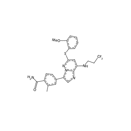 COc1ccccc1Sc1cc(NCCC(F)(F)F)c2ncc(-c3ccc(C(N)=O)c(C)c3)n2n1